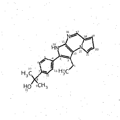 CCc1c(-c2ccc(C(C)(C)O)cc2)[nH]c2ncc3cccn3c12